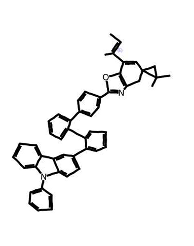 C/C=C(\C)C1=CC2(Cc3nc(-c4ccc(-c5ccccc5-c5ccccc5-c5ccc6c(c5)c5ccccc5n6-c5ccccc5)cc4)oc31)CC2(C)C